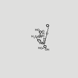 CC(Cc1ccc(O)cc1)NCC(O)c1cc(O)cc(O)c1.OCc1cc(C(O)CNCCCCCCOCCCCc2ccccc2)ccc1O